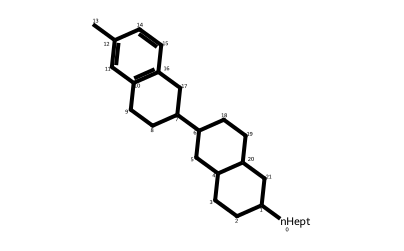 CCCCCCCC1CCC2CC(C3CCc4cc(C)ccc4C3)CCC2C1